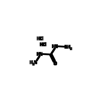 Cl.Cl.NNC(=O)NN